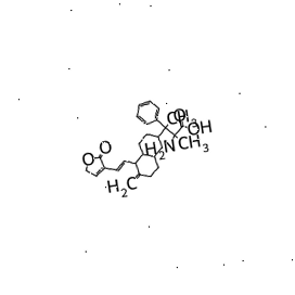 C=C1CCC2CC(C(C)(c3ccccc3)C(C)(N)C(=O)O)CCC2C1/C=C/C1=CCOC1=O